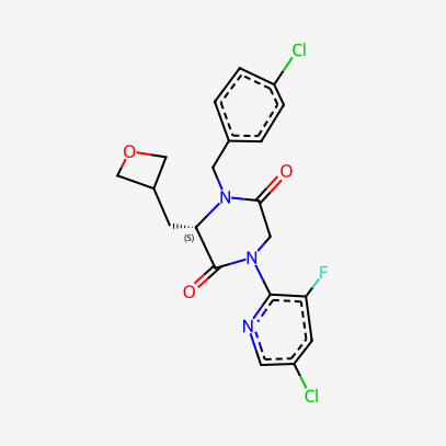 O=C1[C@H](CC2COC2)N(Cc2ccc(Cl)cc2)C(=O)CN1c1ncc(Cl)cc1F